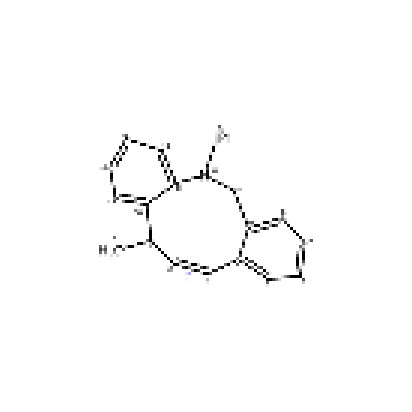 CC1/C=C\c2ccccc2CN(C(C)C)c2ccccc21